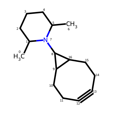 CC1CCCC(C)N1C1C2CCC#CCCC21